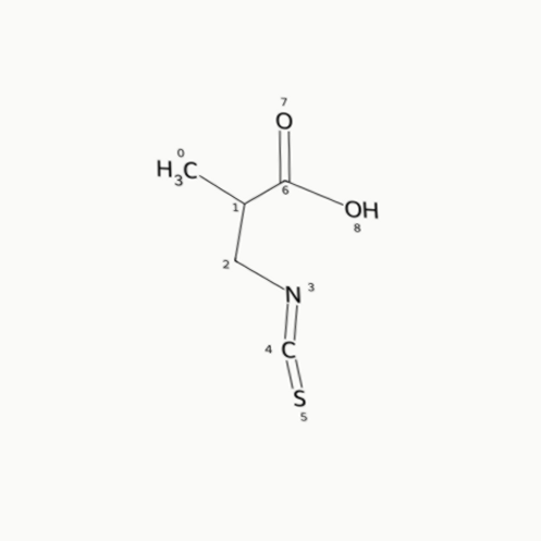 CC(CN=C=S)C(=O)O